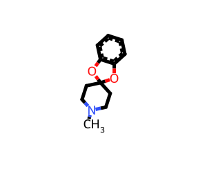 CN1CCC2(CC1)Oc1ccccc1O2